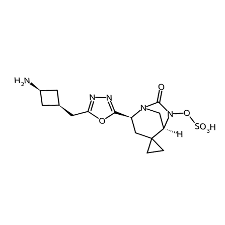 N[C@H]1C[C@@H](Cc2nnc([C@@H]3CC4(CC4)[C@H]4CN3C(=O)N4OS(=O)(=O)O)o2)C1